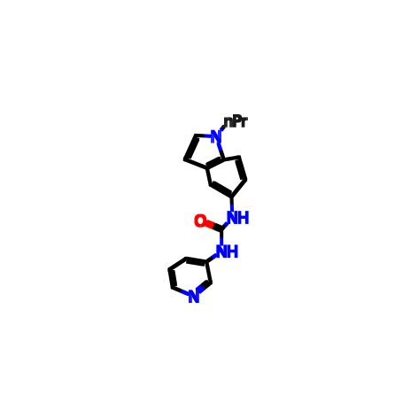 CCCn1ccc2cc(NC(=O)Nc3cccnc3)ccc21